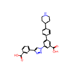 O=C(O)c1cccc(-c2cn(-c3cc(C(=O)O)cc(-c4ccc(C5CCNCC5)cc4)c3)nn2)c1